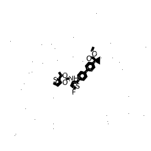 CCOC(=O)C1(c2ccc(-c3ccc(-c4sc(F)cc4NC(=O)OC(C)c4cccs4)cc3)cc2)CC1